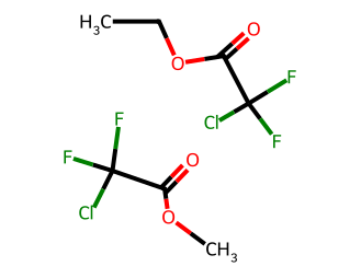 CCOC(=O)C(F)(F)Cl.COC(=O)C(F)(F)Cl